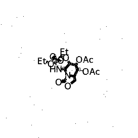 CCOP(=O)(N[C@H]1C(OC(C)=O)C(OC(C)=O)[C@H](OC(C)=O)C2COC(=O)N21)OCC